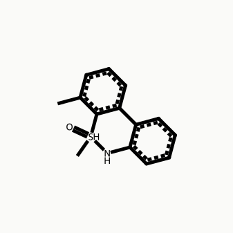 Cc1cccc2c1[SH](C)(=O)Nc1ccccc1-2